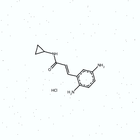 Cl.Nc1ccc(N)c(/C=C/C(=O)NC2CC2)c1